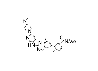 CNC(=O)c1ccc(C)c(-c2cc(C)c3nc(Nc4ccc(N5CCC(N(C)C)CC5)nc4)ncc3c2)c1